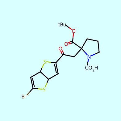 CC(C)(C)OC(=O)C1(CC(=O)C2=CC3SC(Br)=CC3S2)CCCN1C(=O)O